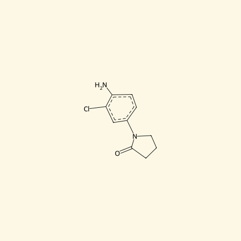 Nc1ccc(N2CCCC2=O)cc1Cl